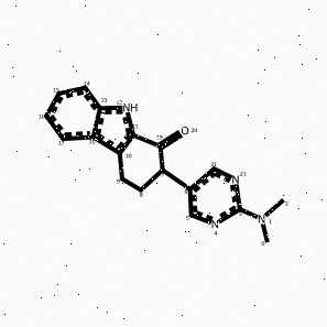 CN(C)c1ncc(C2CCc3c([nH]c4ccccc34)C2=O)cn1